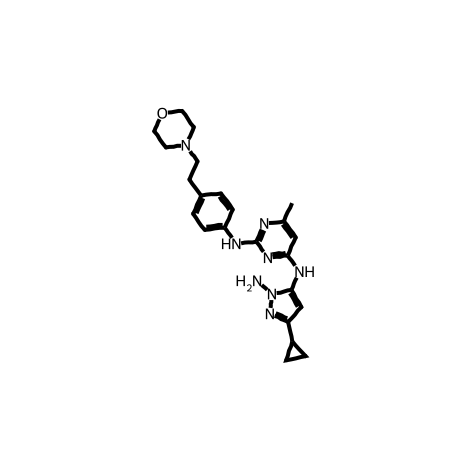 Cc1cc(Nc2cc(C3CC3)nn2N)nc(Nc2ccc(CCN3CCOCC3)cc2)n1